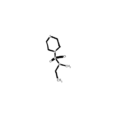 CCN(C)S(=O)(=O)N1CCSCC1